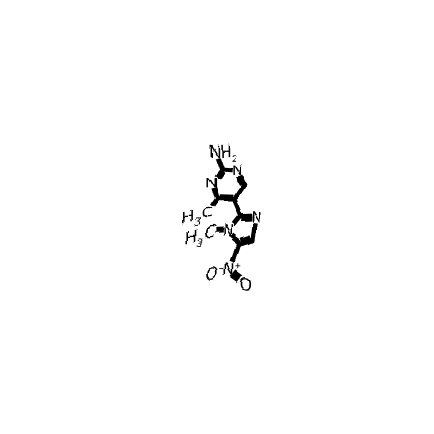 Cc1nc(N)ncc1-c1ncc([N+](=O)[O-])n1C